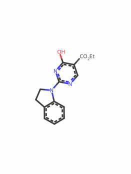 CCOC(=O)c1cnc(N2CCc3ccccc32)nc1O